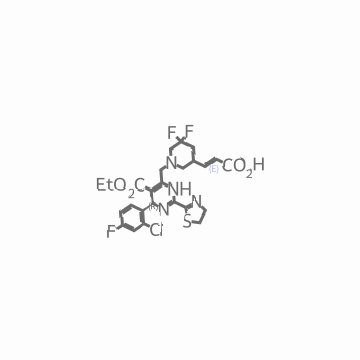 CCOC(=O)C1=C(CN2CC(/C=C/C(=O)O)CC(F)(F)C2)NC(C2=NCCS2)=N[C@H]1c1ccc(F)cc1Cl